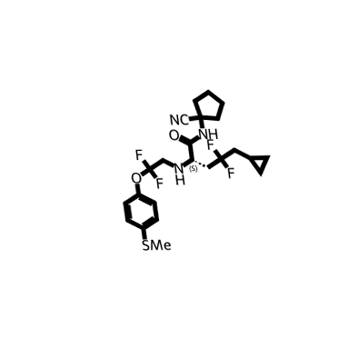 CSc1ccc(OC(F)(F)CN[C@@H](CC(F)(F)CC2CC2)C(=O)NC2(C#N)CCCC2)cc1